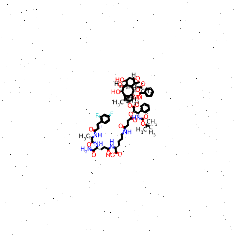 CC(=O)C[C@@]12CO[C@@H]1C[C@H](O)[C@@]1(C)C(=O)[C@H](O)C3=C(C)[C@@H](OC(=O)[C@H](OC(=O)CCC(=O)NCCCC[C@H](NC(=O)CC[C@@H](NC(=O)[C@H](C)NC(=O)/C=C/c4ccc(F)cc4F)C(N)=O)C(=O)O)[C@@H](NC(=O)OC(C)(C)C)c4ccccc4)C[C@@](O)([C@@H](OC(=O)c4ccccc4)[C@H]21)C3(C)C